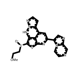 COCC[S+]([O-])c1sc2nc(-c3cnc4cnccn34)cc3c2c1[nH]n1nccc31